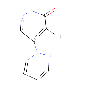 Cc1c(N2C=CC=CN2)cn[nH]c1=O